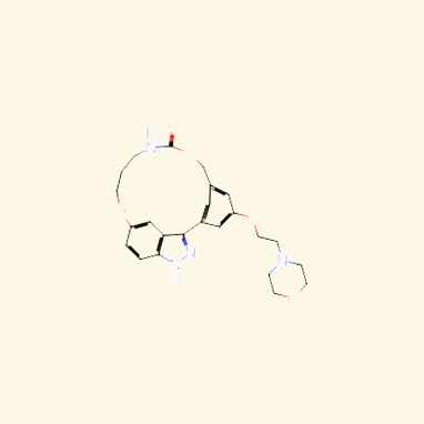 O=C1NCCCOc2ccc3[nH]nc(c3c2)-c2cc(cc(OCCN3CCOCC3)c2)CO1